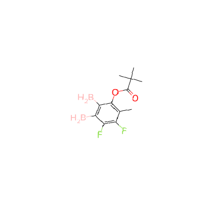 Bc1c(B)c(OC(=O)C(C)(C)C)c(C)c(F)c1F